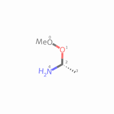 COO[C@H](C)N